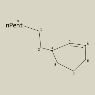 CCCCCCC[C]1C=CCCC1